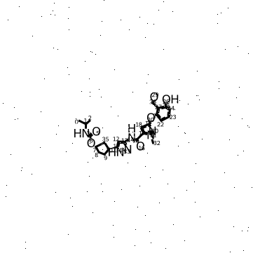 CC(C)NC(=O)O[C@@H]1CC[C@H](c2cc(NC(=O)c3cc(Oc4cccc(O)c4C=O)nn3C)n[nH]2)C1